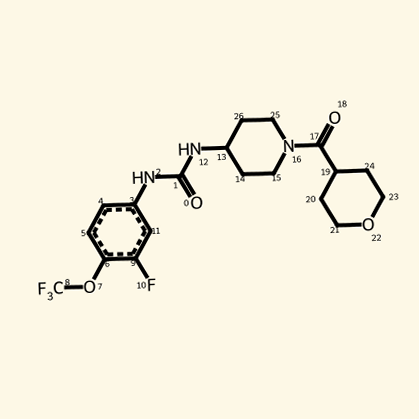 O=C(Nc1ccc(OC(F)(F)F)c(F)c1)NC1CCN(C(=O)C2CCOCC2)CC1